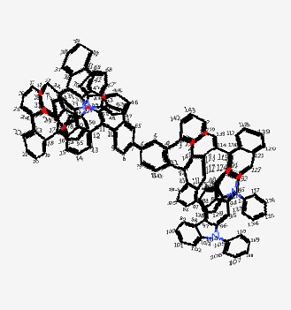 c1ccc(-c2cc(-c3ccc4c(-c5cccc6c(-c7ccccc7-c7ccccc7)c7cccc(-c8c9ccccc9cc9c%10ccccc%10n(-c%10ccccc%10)c89)c7cc56)c5c(cc4c3)c3ccccc3n5-c3ccccc3)ccc2-c2c3cccc(-c4c5ccccc5cc5c4c4ccccc4n5-c4ccccc4)c3cc3c(-c4c5ccccc5cc5c4c4ccccc4n5-c4ccccc4)cccc23)cc1